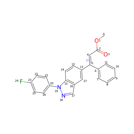 COC(=O)/C=C(\c1ccccc1)c1ccc2c(cnn2-c2ccc(F)cc2)c1